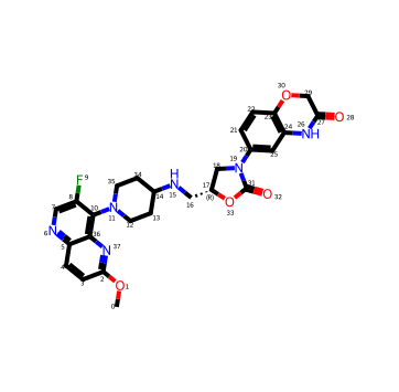 COc1ccc2ncc(F)c(N3CCC(NC[C@@H]4CN(c5ccc6c(c5)NC(=O)CO6)C(=O)O4)CC3)c2n1